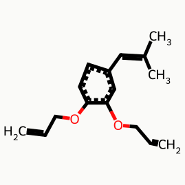 C=CCOc1ccc(C=C(C)C)cc1OCC=C